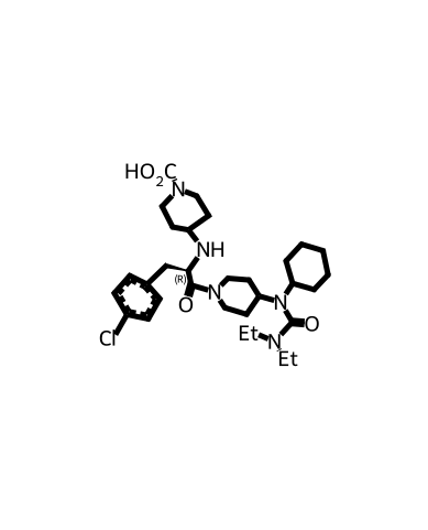 CCN(CC)C(=O)N(C1CCCCC1)C1CCN(C(=O)[C@@H](Cc2ccc(Cl)cc2)NC2CCN(C(=O)O)CC2)CC1